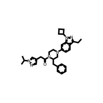 CCc1nn(C2CCC2)c2cc(N3CCN(C(=O)Cc4cnn(C(C)C)c4)C(Cc4ccccc4)C3)ccc12